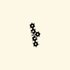 C[Si](c1ccccc1)(c1ccc(-c2ccccc2)cn1)c1ccc(-c2ccccc2)cn1